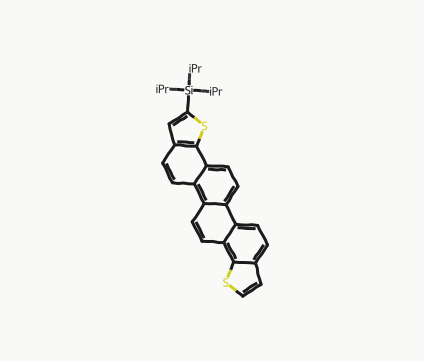 CC(C)[Si](c1cc2ccc3c4ccc5c(ccc6ccsc65)c4ccc3c2s1)(C(C)C)C(C)C